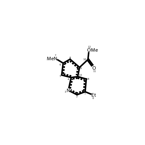 CCc1cnc2cc(NC)cc(C(=O)OC)c2c1